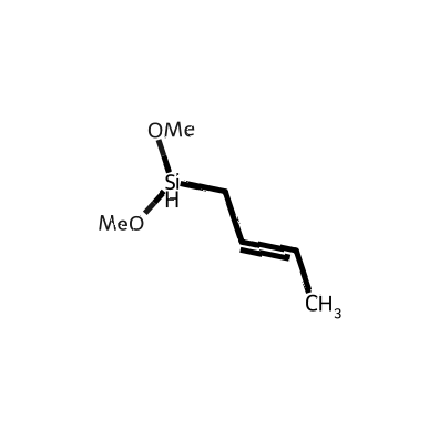 CC=CC[SiH](OC)OC